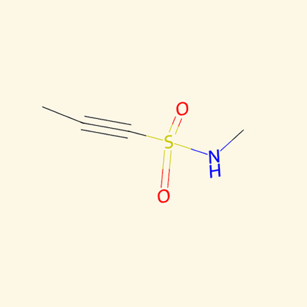 CC#CS(=O)(=O)NC